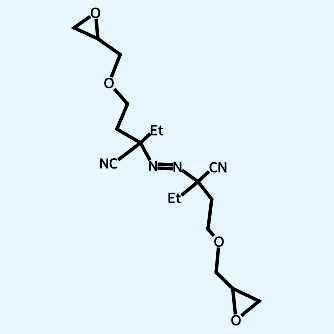 CCC(C#N)(CCOCC1CO1)N=NC(C#N)(CC)CCOCC1CO1